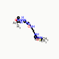 CC(=O)c1c(C)c2cnc(Nc3ccc(N4CCN(CC(=O)NCCCCCCCNc5ccc(C)c(C(=O)Nc6nc(C)c(C)s6)c5)CC4)cn3)nc2n(C2CCCC2)c1=O